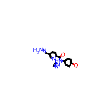 C#N.C#N.COc1ccc(NC(=O)c2ccc(C=NN)cn2)cc1